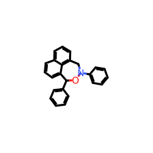 c1ccc(C2ON(c3ccccc3)Cc3cccc4cccc2c34)cc1